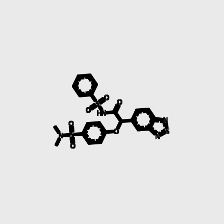 CN(C)S(=O)(=O)c1ccc(OC(C(=O)NS(=O)(=O)c2ccccc2)c2ccc3nsnc3c2)cc1